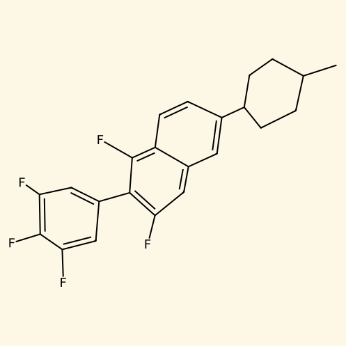 CC1CCC(c2ccc3c(F)c(-c4cc(F)c(F)c(F)c4)c(F)cc3c2)CC1